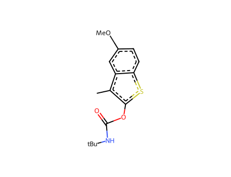 COc1ccc2sc(OC(=O)NC(C)(C)C)c(C)c2c1